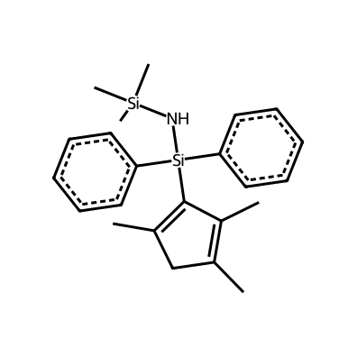 CC1=C(C)C([Si](N[Si](C)(C)C)(c2ccccc2)c2ccccc2)=C(C)C1